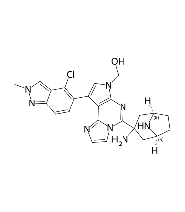 Cn1cc2c(Cl)c(-c3cn(CO)c4nc(C5(N)C[C@H]6CC[C@@H](C5)N6)n5ccnc5c34)ccc2n1